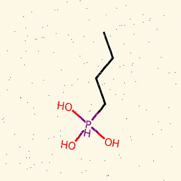 CCCC[PH](O)(O)O